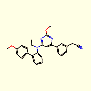 CCN(c1cc(-c2cccc(CC#N)c2)nc(OC)n1)c1ccccc1-c1ccc(OC)cc1